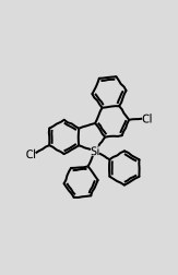 Clc1ccc2c(c1)[Si](c1ccccc1)(c1ccccc1)c1cc(Cl)c3ccccc3c1-2